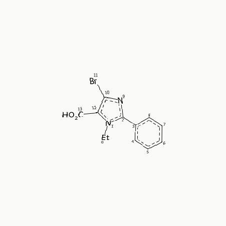 CCn1c(-c2ccccc2)nc(Br)c1C(=O)O